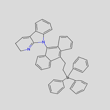 C1=c2c(n(-c3c4ccccc4c(CC[Si](c4ccccc4)(c4ccccc4)c4ccccc4)c4ccccc34)c3ccccc23)=NCC1